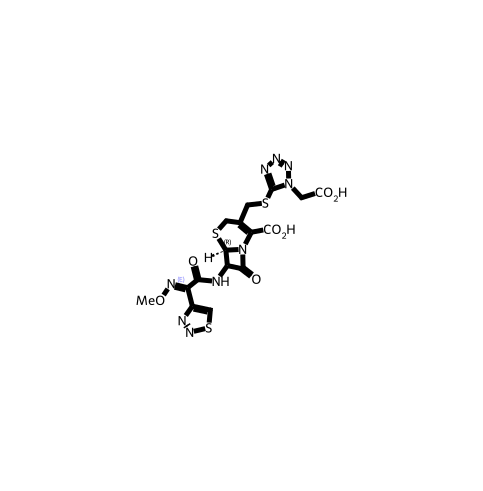 CO/N=C(/C(=O)NC1C(=O)N2C(C(=O)O)=C(CSc3nnnn3CC(=O)O)CS[C@H]12)c1csnn1